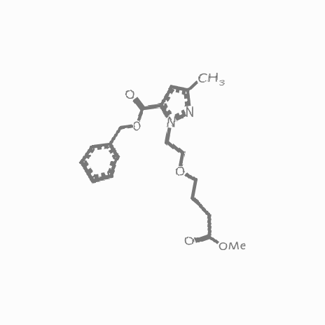 COC(=O)CCCOCCn1nc(C)cc1C(=O)OCc1ccccc1